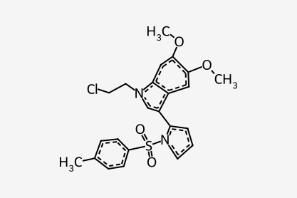 COc1cc2c(-c3cccn3S(=O)(=O)c3ccc(C)cc3)cn(CCCl)c2cc1OC